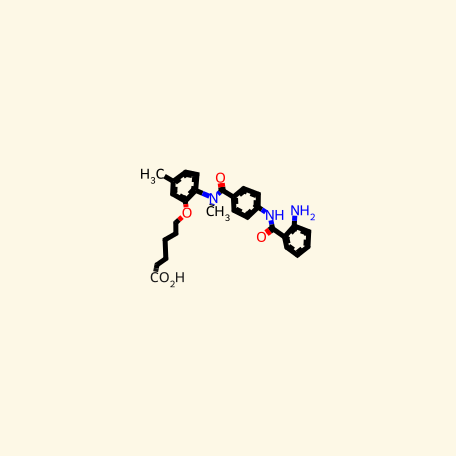 Cc1ccc(N(C)C(=O)c2ccc(NC(=O)c3ccccc3N)cc2)c(OCCCCCC(=O)O)c1